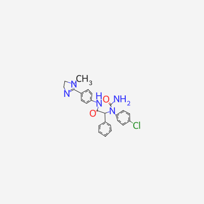 CN1CCN=C1c1ccc(NC(=O)C(c2ccccc2)N(C(N)=O)c2ccc(Cl)cc2)cc1